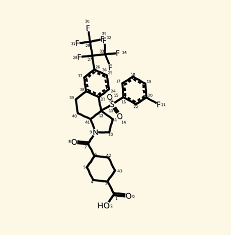 O=C(O)C1CCC(C(=O)N2CCC3(S(=O)(=O)c4cccc(F)c4)c4ccc(C(F)(C(F)(F)F)C(F)(F)F)cc4CCC23)CC1